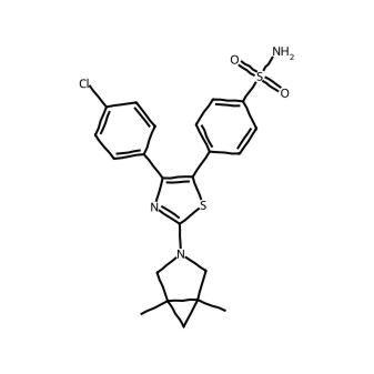 CC12CN(c3nc(-c4ccc(Cl)cc4)c(-c4ccc(S(N)(=O)=O)cc4)s3)CC1(C)C2